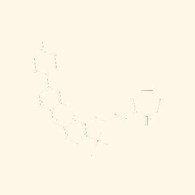 CC1CN(c2ccc(Nc3ncc(C(F)(F)F)c(NCCCN4CCCCCC4=O)n3)c(Cl)c2)CCN1C